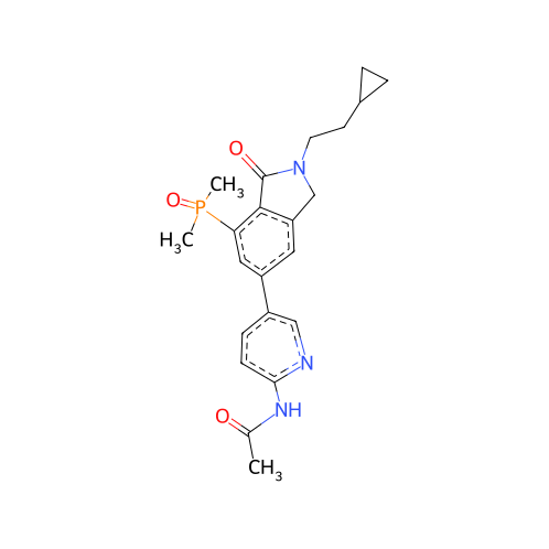 CC(=O)Nc1ccc(-c2cc3c(c(P(C)(C)=O)c2)C(=O)N(CCC2CC2)C3)cn1